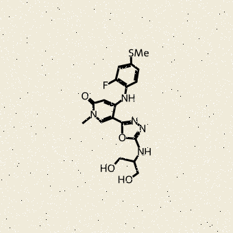 CSc1ccc(Nc2cc(=O)n(C)cc2-c2nnc(NC(CO)CO)o2)c(F)c1